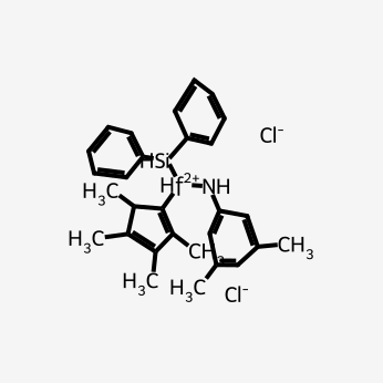 CC1=C(C)C(C)[C]([Hf+2]([NH]c2cc(C)cc(C)c2)[SiH](c2ccccc2)c2ccccc2)=C1C.[Cl-].[Cl-]